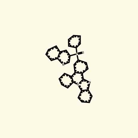 S=P(c1ccccc1)(c1cnc2ccccc2c1)c1ccc2c(c1)c1ccccc1n1c3ccccc3nc21